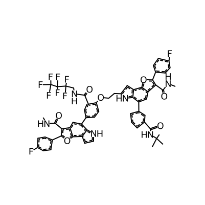 CNC(=O)c1c(-c2ccc(F)cc2)oc2c1cc(-c1ccc(OCCc3cc4c([nH]3)c(-c3cccc(C(=O)NC(C)(C)C)c3)cc3c(C(=O)NC)c(-c5ccc(F)cc5)oc34)c(C(=O)NCC(F)(F)C(F)(F)C(F)(F)F)c1)c1[nH]ccc12